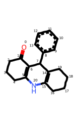 O=C1CCCC2=C1C(c1ccccc1)C1=C(CCCC1)N2